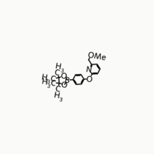 COCc1cccc(Oc2ccc(B3OC(C)(C)C(C)(C)O3)cc2)n1